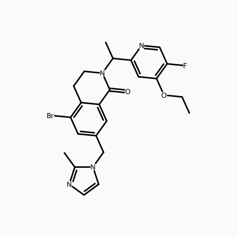 CCOc1cc(C(C)N2CCc3c(Br)cc(Cn4ccnc4C)cc3C2=O)ncc1F